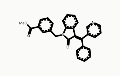 COC(=O)c1cccc(CN2C(=O)/C(=C(\c3ccccc3)c3cccnc3)c3ccccc32)c1